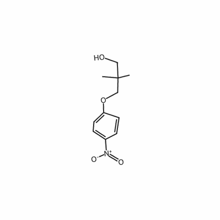 CC(C)(CO)COc1ccc([N+](=O)[O-])cc1